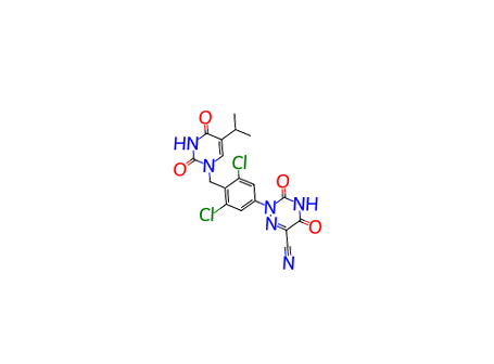 CC(C)c1cn(Cc2c(Cl)cc(-n3nc(C#N)c(=O)[nH]c3=O)cc2Cl)c(=O)[nH]c1=O